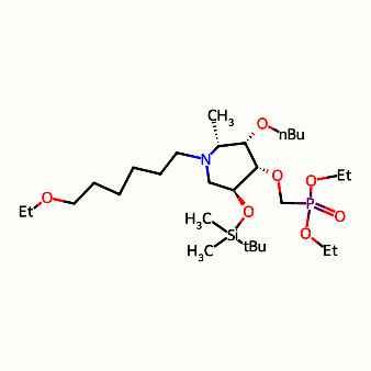 CCCCO[C@@H]1[C@H](OCP(=O)(OCC)OCC)[C@@H](O[Si](C)(C)C(C)(C)C)CN(CCCCCCOCC)[C@@H]1C